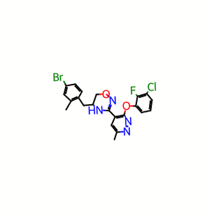 Cc1cc(C2=NOCC(Cc3ccc(Br)cc3C)N2)c(Oc2cccc(Cl)c2F)nn1